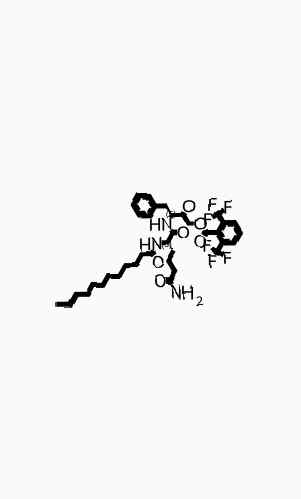 CCCCCCCCCCCC(=O)N[C@@H](CCCC(N)=O)C(=O)N[C@@H](Cc1ccccc1)C(=O)COC(=O)c1c(C(F)(F)F)cccc1C(F)(F)F